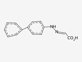 O=C(O)C=NNc1ccc(-c2ccccc2)cc1